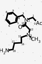 CC(=O)CN(Cc1ccccc1)C(=O)CN(C)CCCCN